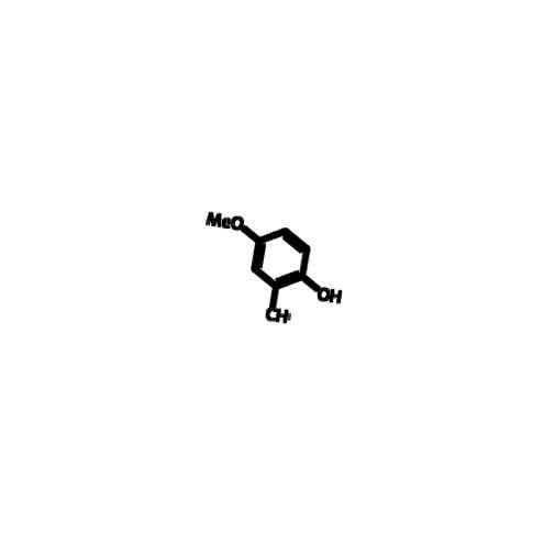 [CH]c1cc(OC)ccc1O